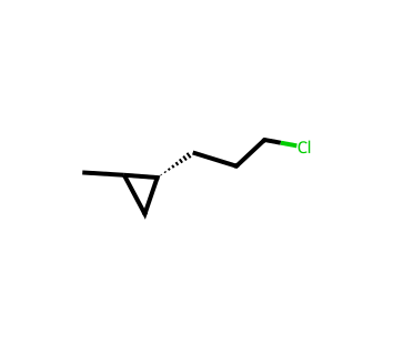 CC1C[C@H]1CCCCl